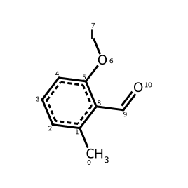 Cc1cccc(OI)c1C=O